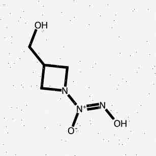 [O-]/[N+](=N\O)N1CC(CO)C1